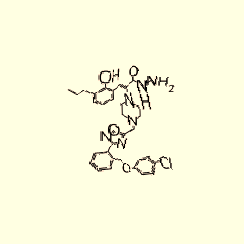 C=CCc1cccc(C=C(C(=O)NN)N2CCN(Cc3nc(-c4ccccc4COc4ccc(Cl)cc4)no3)CC2)c1O